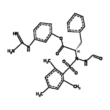 Cc1cc(C)c(S(=O)(=O)N(NC=O)[C@@H](Cc2ccccc2)C(=O)Oc2cccc(NC(=N)N)c2)c(C)c1